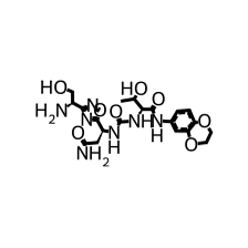 CC(O)[C@H](NC(=O)N[C@@H](CC(N)=O)c1nc([C@@H](N)CO)no1)C(=O)Nc1ccc2c(c1)OCCO2